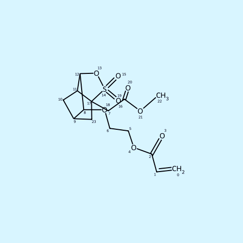 C=CC(=O)OCCOC1C2CC3C1OS(=O)(=O)C3(CC(=O)OC)C2